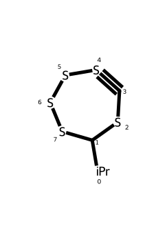 CC(C)C1SC#SSSS1